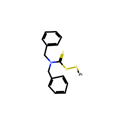 CC(C)SSC(=S)N(Cc1ccccc1)Cc1ccccc1